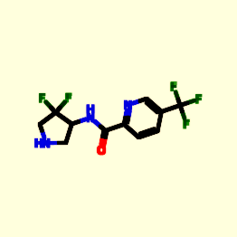 O=C(NC1CNCC1(F)F)c1ccc(C(F)(F)F)cn1